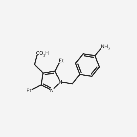 CCc1nn(Cc2ccc(N)cc2)c(CC)c1CC(=O)O